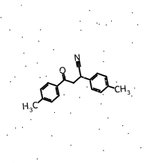 Cc1ccc(C(=O)CC(C#N)c2ccc(C)cc2)cc1